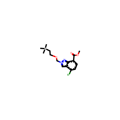 COC(=O)c1ccc(Br)c2cn(COCC[Si](C)(C)C)nc12